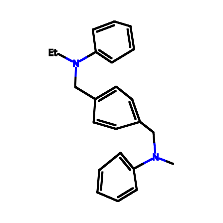 CCN(Cc1ccc(CN(C)c2ccccc2)cc1)c1ccccc1